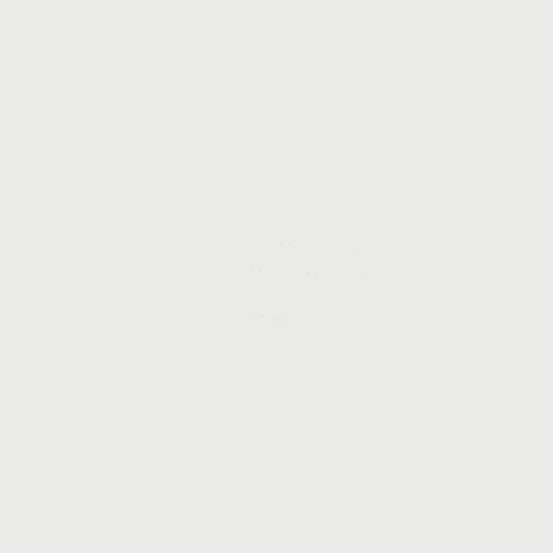 Cc1occc(=O)c1OP(=O)(Oc1c(C)occc1=O)c1ccccc1